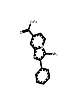 COC(=O)c1ccn2c(N)c(-c3ccccc3)nc2c1